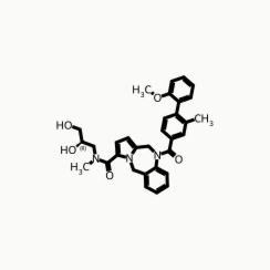 COc1ccccc1-c1ccc(C(=O)N2Cc3ccc(C(=O)N(C)C[C@@H](O)CO)n3Cc3ccccc32)cc1C